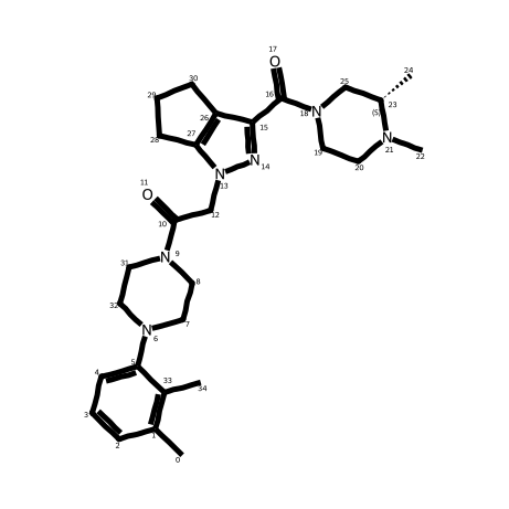 Cc1cccc(N2CCN(C(=O)Cn3nc(C(=O)N4CCN(C)[C@@H](C)C4)c4c3CCC4)CC2)c1C